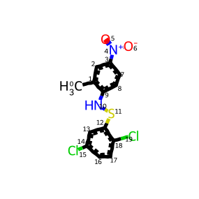 Cc1cc([N+](=O)[O-])ccc1NSc1cc(Cl)ccc1Cl